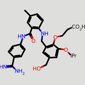 Cc1ccc(NCc2cc(CO)cc(OC(C)C)c2OCCC(=O)O)c(C(=O)Nc2ccc(C(=N)N)cc2)c1